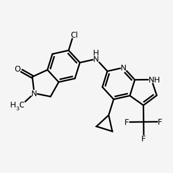 CN1Cc2cc(Nc3cc(C4CC4)c4c(C(F)(F)F)c[nH]c4n3)c(Cl)cc2C1=O